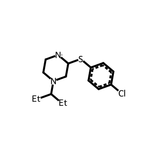 CCC(CC)N1CC[N]C(Sc2ccc(Cl)cc2)C1